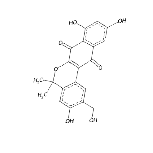 CC1(C)OC2=C(C(=O)c3cc(O)cc(O)c3C2=O)c2cc(CO)c(O)cc21